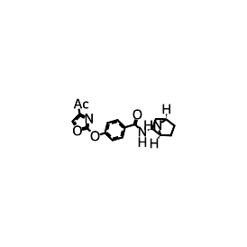 CC(=O)c1coc(Oc2ccc(C(=O)N[C@@H]3C[C@H]4CC[C@@H]3N4)cc2)n1